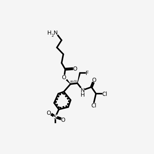 CS(=O)(=O)c1ccc([C@@H](OC(=O)CCCCN)[C@@H](CF)NC(=O)C(Cl)Cl)cc1